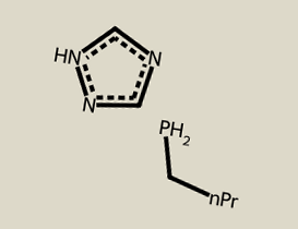 CCCCP.c1nc[nH]n1